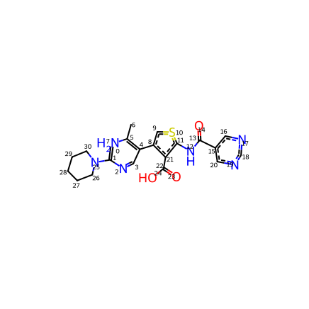 C=C(/N=C\C(=C(\C)N)c1csc(NC(=O)c2cncnc2)c1C(=O)O)N1CCCCC1